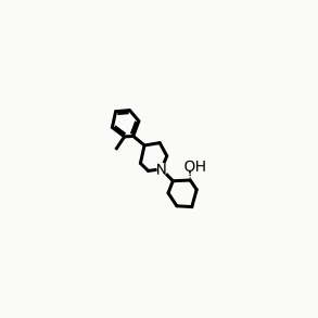 Cc1ccccc1C1CCN(C2CCCC[C@H]2O)CC1